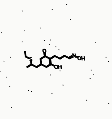 CCSC(C)CC1CC(=O)C(CCCC=NO)=C(O)C1